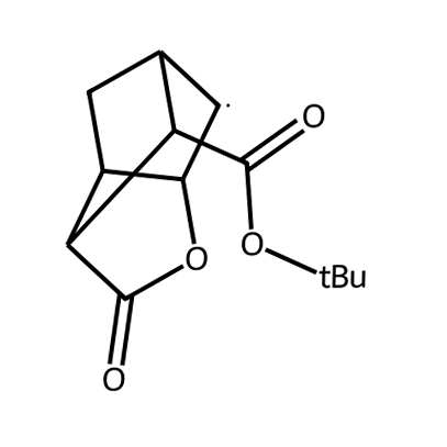 CC(C)(C)OC(=O)C1C2[CH]C3OC(=O)C1C3C2